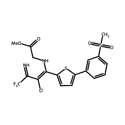 COC(=O)CN/C(=C(/Cl)C(=N)C(F)(F)F)c1ccc(-c2cccc(S(C)(=O)=O)c2)s1